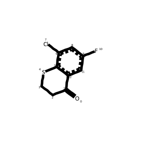 O=C1CCSc2c(Cl)cc(F)cc21